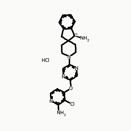 Cl.Nc1nccc(Oc2cnc(N3CCC4(CC3)Cc3ccccc3[C@H]4N)cn2)c1Cl